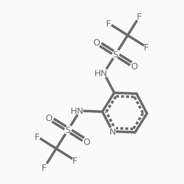 O=S(=O)(Nc1cccnc1NS(=O)(=O)C(F)(F)F)C(F)(F)F